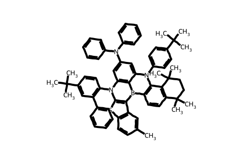 Cc1ccc2sc3c(c2c1)B1c2ccc4c(c2N(c2ccc(C(C)(C)C)cc2)c2cc(N(c5ccccc5)c5ccccc5)cc(c21)N3c1ccc(C(C)(C)C)cc1-c1ccccc1)C(C)(C)CCC4(C)C